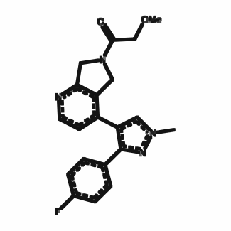 COCC(=O)N1Cc2nccc(-c3cn(C)nc3-c3ccc(F)cc3)c2C1